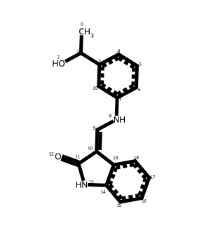 CC(O)c1cccc(N/C=C2/C(=O)Nc3ccccc32)c1